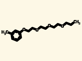 CCCOCCOCCOCCOc1cccc(C)c1